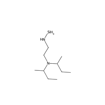 CCC(C)N(CCN[SiH3])C(C)CC